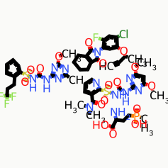 C#CC(C)Oc1cc(N2C(=O)C3=C(CCCC3)C2=O)c(F)cc1Cl.COc1cc(OC)nc(NC(=O)NS(=O)(=O)c2ncccc2C(=O)N(C)C)n1.COc1nc(C)nc(NC(=O)NS(=O)(=O)c2ccccc2CCC(F)(F)F)n1.CP(=O)(O)CCC(N)C(=O)O